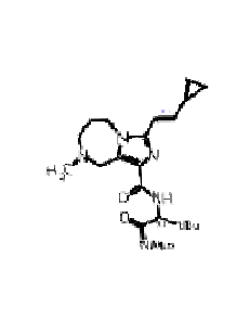 CNC(=O)[C@@H](NC(=O)c1nc(/C=C/C2CC2)n2c1CN(C)CCC2)C(C)(C)C